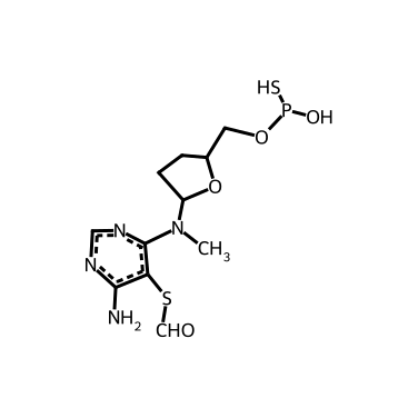 CN(c1ncnc(N)c1SC=O)C1CCC(COP(O)S)O1